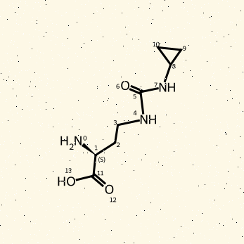 N[C@@H](CCNC(=O)NC1CC1)C(=O)O